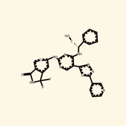 O=C1NC(F)(F)c2cc(Nc3ncc(-c4nnc(-c5cccnc5)o4)c(N[C@H](CO)c4ccccc4)n3)ccc21